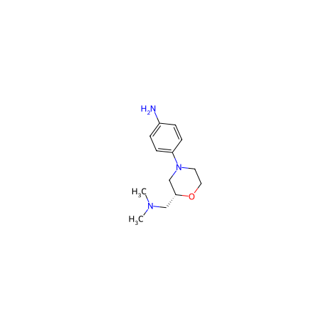 CN(C)C[C@@H]1CN(c2ccc(N)cc2)CCO1